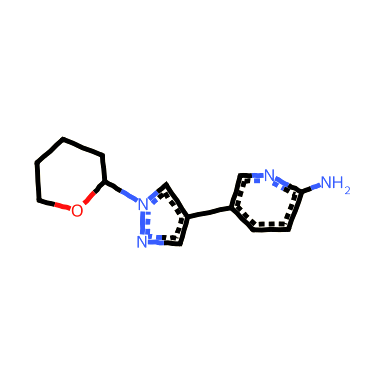 Nc1ccc(-c2cnn(C3CCCCO3)c2)cn1